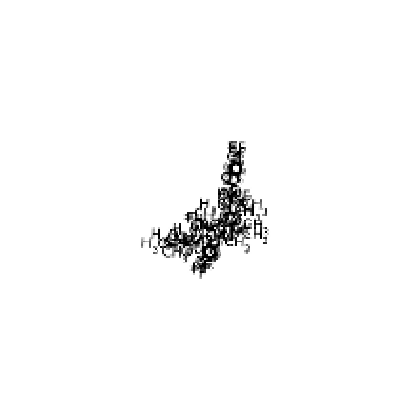 CN[C@@H](CC(C)(C)C)C(=O)O[C@H](C)C(=O)N(C)[C@@H](CC(C)(C)F)C(=O)O[C@H](Cc1ccc(OC(F)(F)F)cc1)C(=O)N(C)[C@@H](CC(C)(C)C)C(=O)O[C@H](C)C(=O)N(C)[C@@H](CC(C)(C)F)C(=O)O[C@@H](C=O)Cc1ccc(OC(F)(F)F)cc1